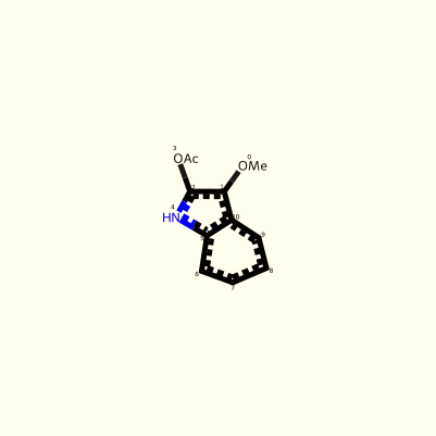 COc1c(OC(C)=O)[nH]c2ccccc12